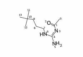 CC(=O)/N=C(/N)NCCCC(C)(C)C